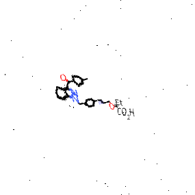 CC[C@@H](OC/C=C/c1ccc(Cn2nc(C(=O)c3ccc(C)cc3)c3ccccc32)cc1)C(=O)O